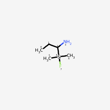 CCC(N)[Si](C)(C)F